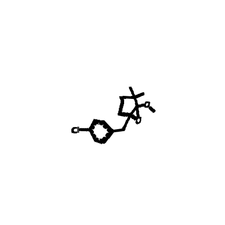 COC12OC1(Cc1ccc(Cl)cc1)CCC2(C)C